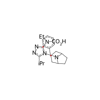 CCN(C(=O)O)c1nnc(C(C)C)n1C1CC2CCC(C1)N2Cc1ccccc1